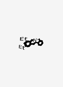 CCc1cc(CC)c2c[n+](C)c(-c3ccccc3C)cc2c1